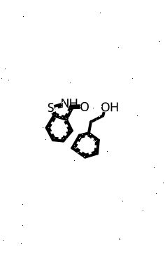 O=c1[nH]sc2ccccc12.OCCc1ccccc1